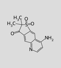 CC1(C)C(=O)c2cc3nccc(N)c3cc2S1(=O)=O